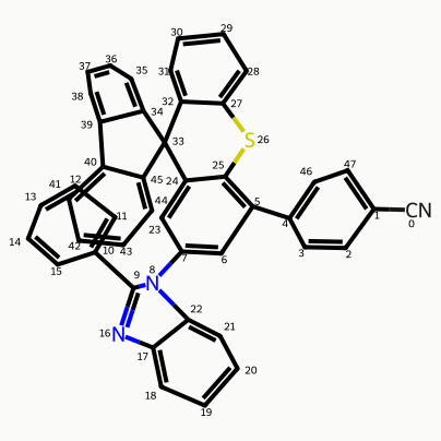 N#Cc1ccc(-c2cc(-n3c(-c4ccccc4)nc4ccccc43)cc3c2Sc2ccccc2C32c3ccccc3-c3ccccc32)cc1